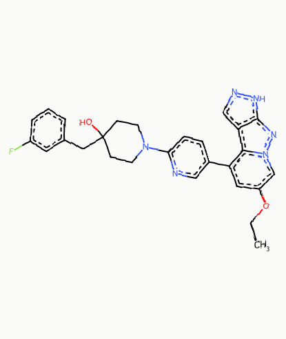 CCOc1cc(-c2ccc(N3CCC(O)(Cc4cccc(F)c4)CC3)nc2)c2c3cn[nH]c3nn2c1